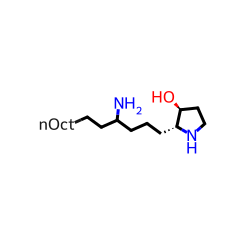 CCCCCCCCCCC(N)CCC[C@H]1NCC[C@@H]1O